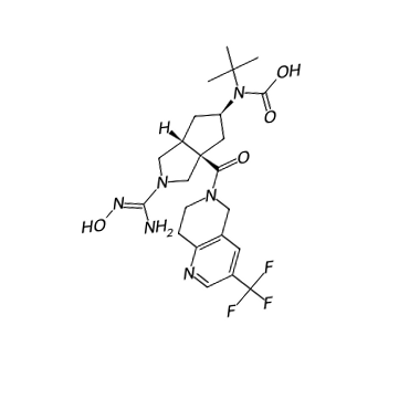 CC(C)(C)N(C(=O)O)[C@@H]1C[C@H]2CN(/C(N)=N/O)C[C@@]2(C(=O)N2CCc3ncc(C(F)(F)F)cc3C2)C1